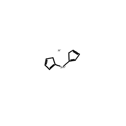 C1=CC[C]([Sm+][C]2=CC=CC2)=C1.[H-]